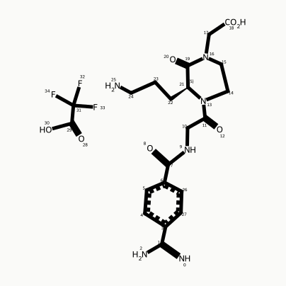 N=C(N)c1ccc(C(=O)NCC(=O)N2CCN(CC(=O)O)C(=O)[C@@H]2CCCN)cc1.O=C(O)C(F)(F)F